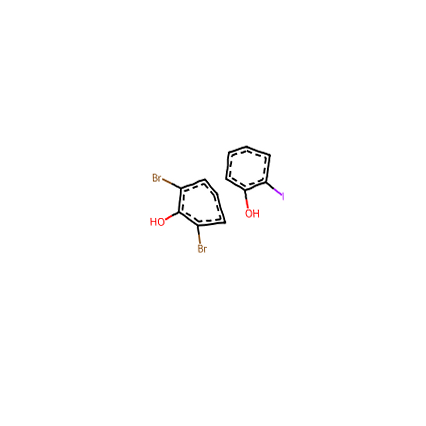 Oc1c(Br)cccc1Br.Oc1ccccc1I